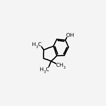 CC1CC(C)(C)c2ccc(O)cc21